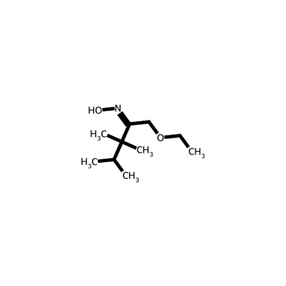 CCOC/C(=N/O)C(C)(C)C(C)C